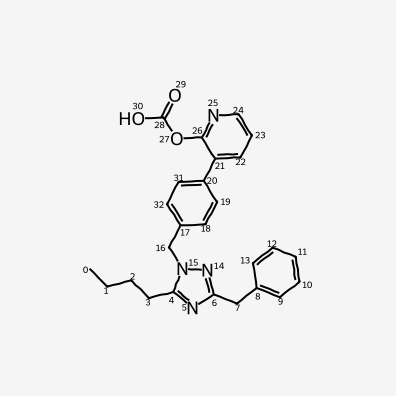 CCCCc1nc(Cc2ccccc2)nn1Cc1ccc(-c2cccnc2OC(=O)O)cc1